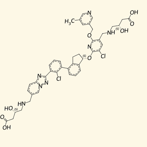 Cc1cncc(COc2nc(O[C@H]3CCc4c(-c5cccc(-c6nc7ccc(CNC[C@@H](O)CC(=O)O)cn7n6)c5Cl)cccc43)c(Cl)cc2CNC[C@@H](O)CC(=O)O)c1